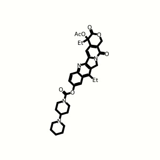 CCc1c2c(nc3ccc(OC(=O)N4CCC(N5CCCCC5)CC4)cc13)-c1cc3c(c(=O)n1C2)COC(=O)C3(CC)OC(C)=O